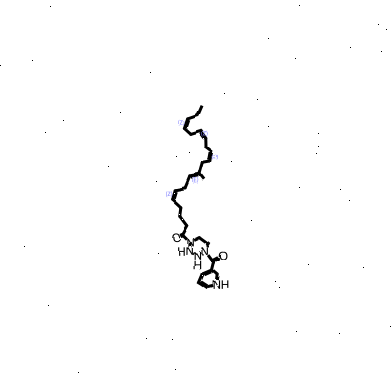 CC/C=C\C/C=C\C/C=C\C/C(C)=C/C/C=C\CCCC(=O)N1CCN(C(=O)C2=CC=CNC2)NN1